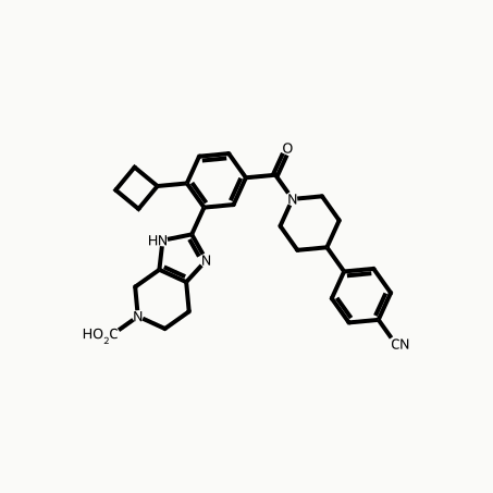 N#Cc1ccc(C2CCN(C(=O)c3ccc(C4CCC4)c(-c4nc5c([nH]4)CN(C(=O)O)CC5)c3)CC2)cc1